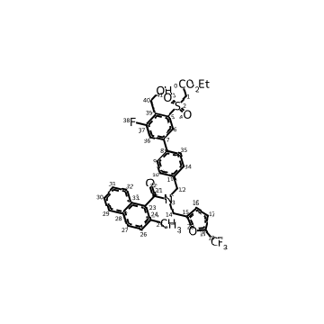 CCOC(=O)CS(=O)(=O)c1cc(-c2ccc(CN(Cc3ccc(C(F)(F)F)o3)C(=O)c3c(C)ccc4ccccc34)cc2)cc(F)c1CO